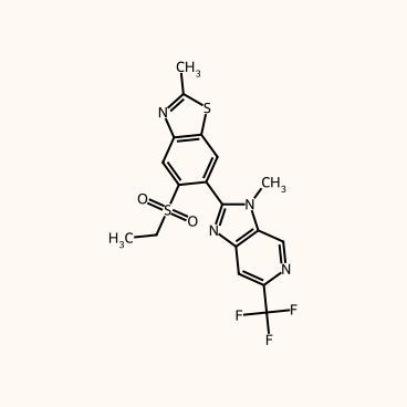 CCS(=O)(=O)c1cc2nc(C)sc2cc1-c1nc2cc(C(F)(F)F)ncc2n1C